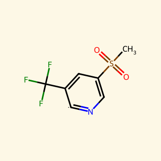 CS(=O)(=O)c1cn[c]c(C(F)(F)F)c1